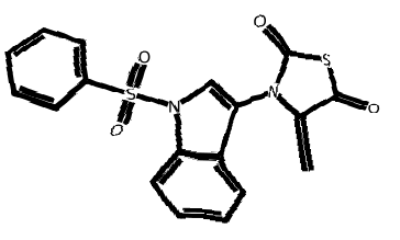 C=C1C(=O)SC(=O)N1c1cn(S(=O)(=O)c2ccccc2)c2ccccc12